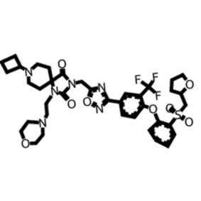 O=C1N(Cc2nc(-c3ccc(Oc4ccccc4S(=O)(=O)CC4CCCO4)c(C(F)(F)F)c3)no2)C(=O)C2(CCN(C3CCC3)CC2)N1CCN1CCOCC1